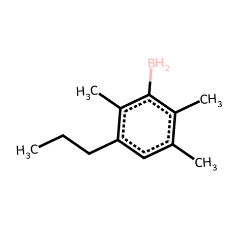 Bc1c(C)c(C)cc(CCC)c1C